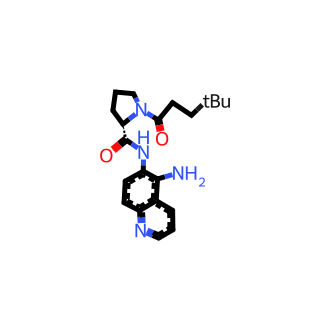 CC(C)(C)CCC(=O)N1CCC[C@H]1C(=O)Nc1ccc2ncccc2c1N